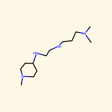 CN(C)CCCNCCNC1CCN(C)CC1